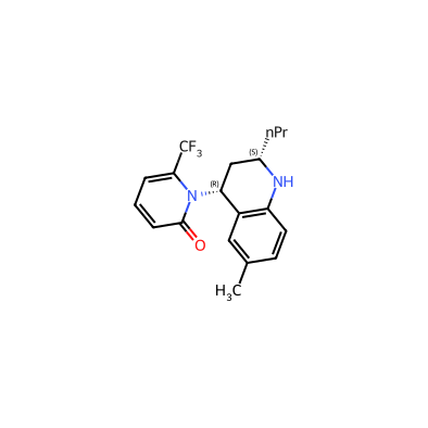 CCC[C@H]1C[C@@H](n2c(C(F)(F)F)cccc2=O)c2cc(C)ccc2N1